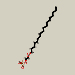 CCCCCCCCCCCCCCCCCCOCCO[SH](=O)=O